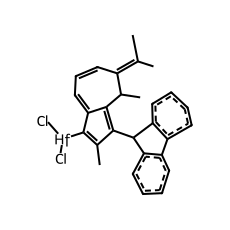 CC(C)=C1C=CC=C2C(=C(C3c4ccccc4-c4ccccc43)C(C)=[C]2[Hf]([Cl])[Cl])C1C